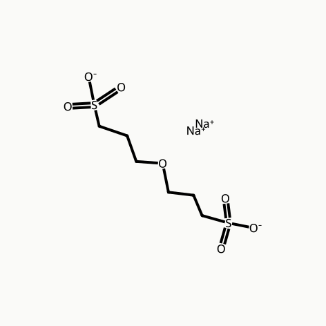 O=S(=O)([O-])CCCOCCCS(=O)(=O)[O-].[Na+].[Na+]